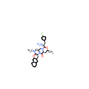 C=CC[C@H]1C(=O)N([C@@H](Cc2ccc3ccccc3c2)C(=O)N(C)C)CCN1C(=O)[C@H](N)Cc1ccc(F)cc1